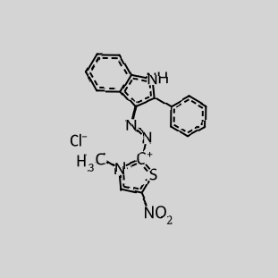 Cn1cc([N+](=O)[O-])s[c+]1N=Nc1c(-c2ccccc2)[nH]c2ccccc12.[Cl-]